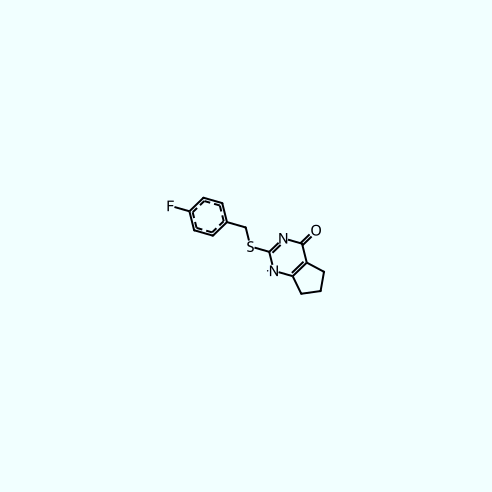 O=C1N=C(SCc2ccc(F)cc2)[N]C2=C1CCC2